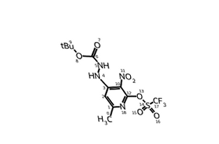 Cc1cc(NNC(=O)OC(C)(C)C)c([N+](=O)[O-])c(OS(=O)(=O)C(F)(F)F)n1